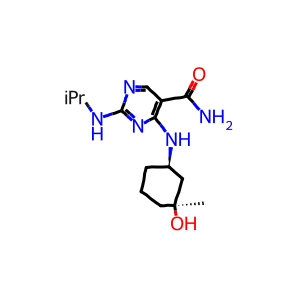 CC(C)Nc1ncc(C(N)=O)c(N[C@@H]2CCC[C@](C)(O)C2)n1